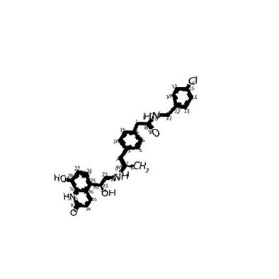 C[C@H](Cc1ccc(CC(=O)NCc2ccc(Cl)cc2)cc1)NC[C@@H](O)c1ccc(O)c2[nH]c(=O)ccc12